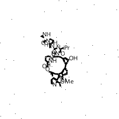 CCn1c(-c2cccnc2[C@H](C)OC)c2c3cc(ccc31)-c1cc(O)cc(c1)C[C@H](NC(=O)C(C(C)C)N(C)C(=O)N1C[C@@H]3[C@H]1CCN3C(=O)[C@@H]1CN1)C(=O)N1CCC[C@H](N1)C(=O)OCC(C)(C)C2